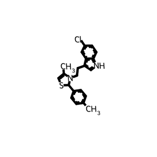 CC1=CSC(c2ccc(C)cc2)N1CCc1c[nH]c2ccc(Cl)cc12